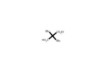 CCOC(=O)C(C(=O)O)(C(C)(C)C)C(C)(C)C